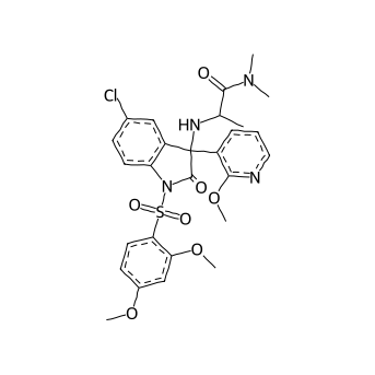 COc1ccc(S(=O)(=O)N2C(=O)C(NC(C)C(=O)N(C)C)(c3cccnc3OC)c3cc(Cl)ccc32)c(OC)c1